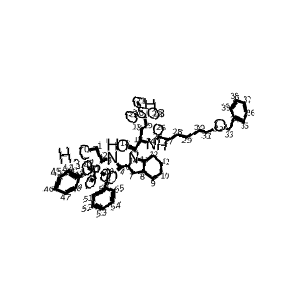 CCC(NC(=O)C1CC2CCCCC2N1C(=O)C(CCS(C)(=O)=O)NC(=O)CCCCCOCc1ccccc1)P(=O)(Oc1ccccc1)Oc1ccccc1